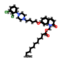 CCCCCCCCCCCCCCCCCCCC(=O)OCn1c(=O)ccc2ccc(OCCCCN3CCN(c4cccc(Cl)c4Cl)CC3)cc21